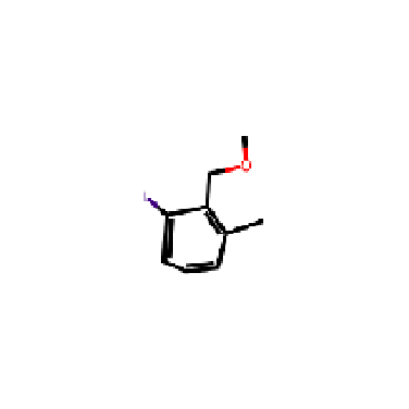 COCc1c(C)cccc1I